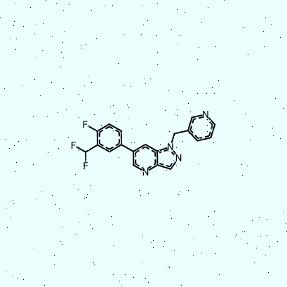 Fc1ccc(-c2cnc3cnn(Cc4cccnc4)c3c2)cc1C(F)F